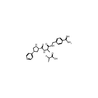 CC(NC(=O)[C@H]1C[C@@H](c2ccncc2)CN1)C(=O)NCc1ccc(C(=N)N)cc1.O=C(O)C(F)F